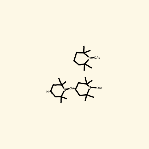 CC(=O)ON1C(C)(C)CCCC1(C)C.CC(=O)ON1C(C)(C)CCCC1(C)C.CC(=O)ON1C(C)(C)CCCC1(C)C.N